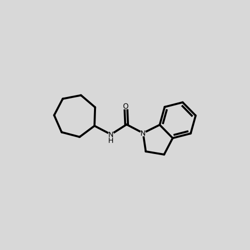 O=C(NC1CCCCCC1)N1CCc2ccccc21